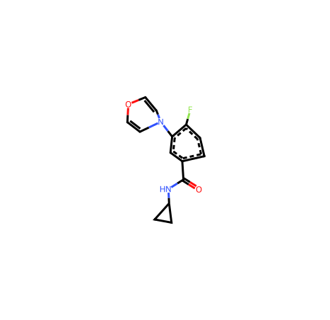 O=C(NC1CC1)c1ccc(F)c(N2C=COC=C2)c1